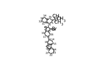 CC(C)(C)c1cc(-c2sc3ccc(-c4ccc5c(c4)sc4ccccc45)cc3c2Br)c2ccccc2c1